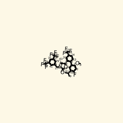 COc1cc(F)c(C(C)C)cc1-c1ccc(C(F)(F)F)cc1[C@H]1OC(=O)N(Cc2cc(C(F)(F)F)cc(C(F)(F)F)c2)[C@@H]1C